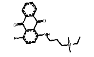 CC[N+](C)(C)CCCNc1ccc(F)c2c1C(=O)c1ccccc1C2=O